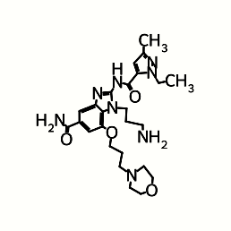 CCn1nc(C)cc1C(=O)Nc1nc2cc(C(N)=O)cc(OCCCN3CCOCC3)c2n1CCCN